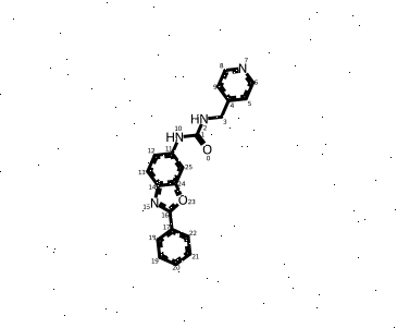 O=C(NCc1ccncc1)Nc1ccc2nc(-c3ccccc3)oc2c1